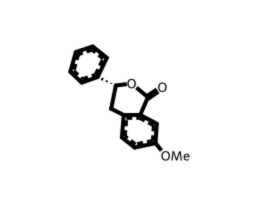 COc1ccc2c(c1)C(=O)O[C@@H](c1ccccc1)C2